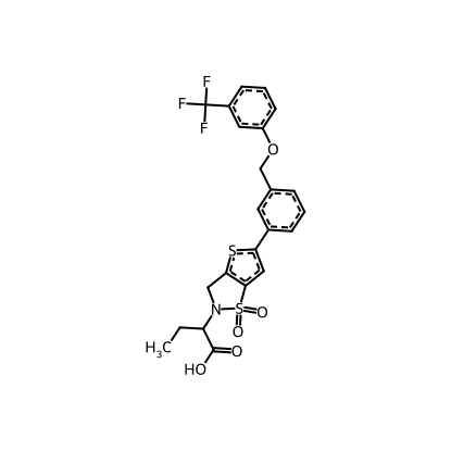 CCC(C(=O)O)N1Cc2sc(-c3cccc(COc4cccc(C(F)(F)F)c4)c3)cc2S1(=O)=O